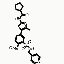 COc1ccc(-c2sc(NC(=O)C3CCCC3)nc2C)cc1S(=O)(=O)NCc1ccncc1